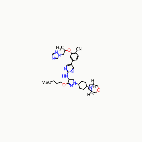 COCCCOc1nn(C2CCC(N3[C@@H]4CC[C@H]3COC4)CC2)cc1Nc1ncc(-c2ccc(C#N)c(OC(C)Cn3cncn3)c2)cn1